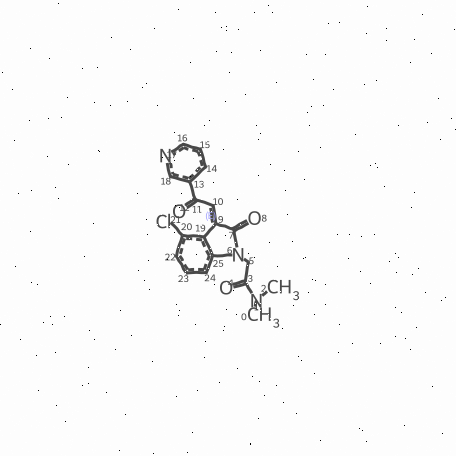 CN(C)C(=O)CN1C(=O)/C(=C/C(=O)c2cccnc2)c2c(Cl)cccc21